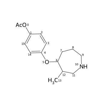 CC(=O)Oc1ccc(OC2CCCNCC2C)cc1